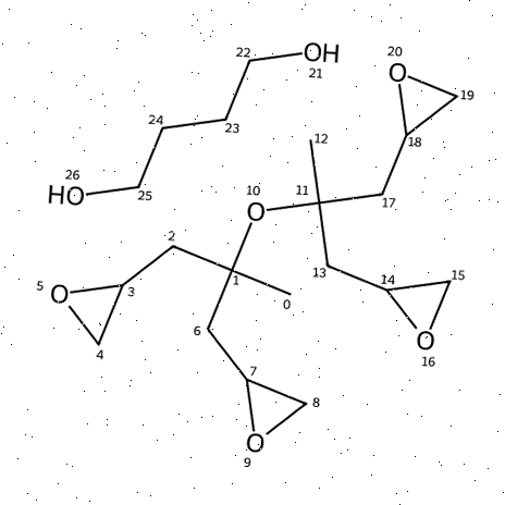 CC(CC1CO1)(CC1CO1)OC(C)(CC1CO1)CC1CO1.OCCCCO